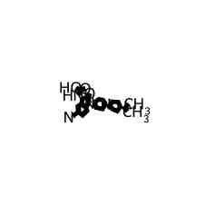 CC(C)[C@H]1CC[C@@H](N2CCC(N3C(=O)C(NC(=O)O)c4cc(C#N)ccc43)CC2)CC1